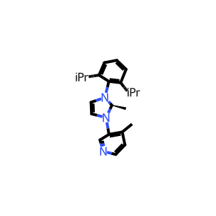 Cc1ccncc1N1C=CN(c2c(C(C)C)cccc2C(C)C)[C@H]1C